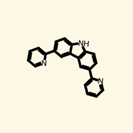 c1ccc(-c2ccc3[nH]c4ccc(-c5ccccn5)cc4c3c2)nc1